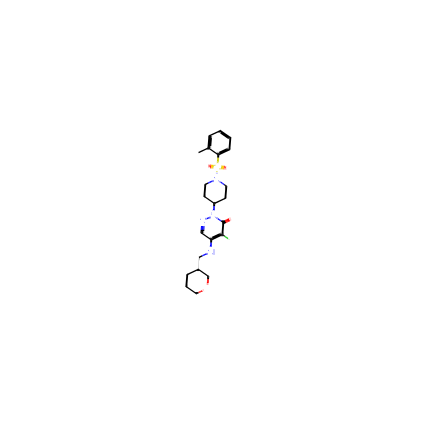 Cc1ccccc1S(=O)(=O)N1CCC(n2ncc(NC[C@@H]3CCCOC3)c(Cl)c2=O)CC1